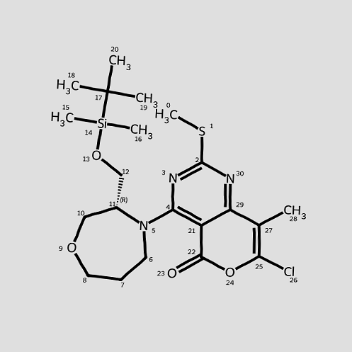 CSc1nc(N2CCCOC[C@@H]2CO[Si](C)(C)C(C)(C)C)c2c(=O)oc(Cl)c(C)c2n1